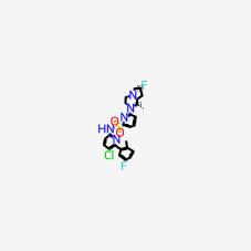 Cc1ccc(F)cc1-c1nc(NS(=O)(=O)c2cccc(N3CCN4C[C@@H](F)CC4[C@@H]3C)n2)ccc1Cl